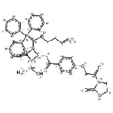 C=CCCC(=O)C(N1C(=O)[C@H]([C@@H](C)O)[C@H]1CC(=O)c1ccc(OCC(=O)N2CCOC2=O)cc1)=P(c1ccccc1)(c1ccccc1)c1ccccc1